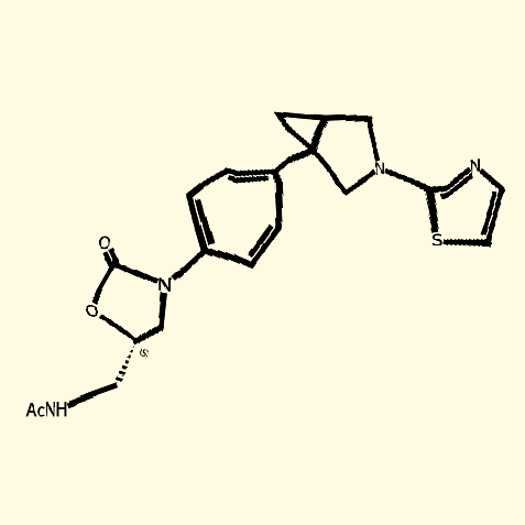 CC(=O)NC[C@H]1CN(c2ccc(C34CC3CN(c3nccs3)C4)cc2)C(=O)O1